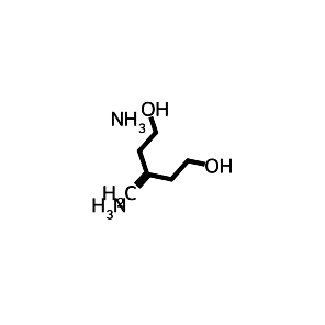 C=C(CCO)CCO.N.N